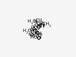 C=C(F)C(=O)N1CCN(c2c(C(=O)NCCN(C)C)c(=O)n(-c3c(C)ccnc3C(C)C)c3nc(-c4c(O)cccc4F)c(F)cc23)C[C@H]1C